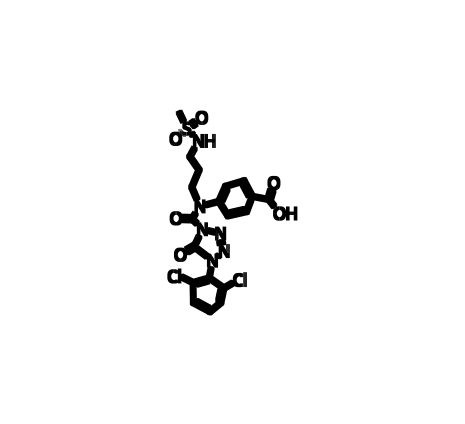 CS(=O)(=O)NCCCN(C(=O)n1nnn(-c2c(Cl)cccc2Cl)c1=O)c1ccc(C(=O)O)cc1